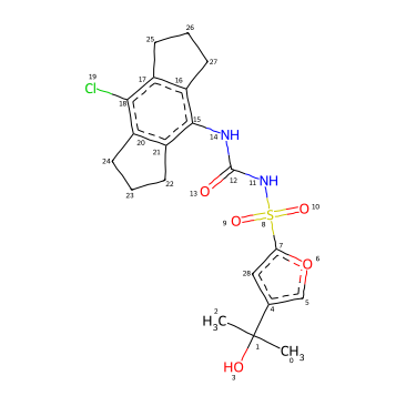 CC(C)(O)c1coc(S(=O)(=O)NC(=O)Nc2c3c(c(Cl)c4c2CCC4)CCC3)c1